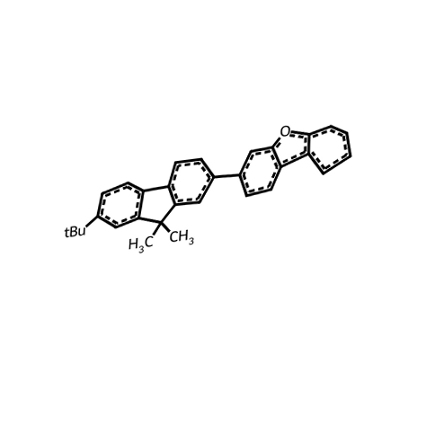 CC(C)(C)c1ccc2c(c1)C(C)(C)c1cc(-c3ccc4c(c3)oc3ccccc34)ccc1-2